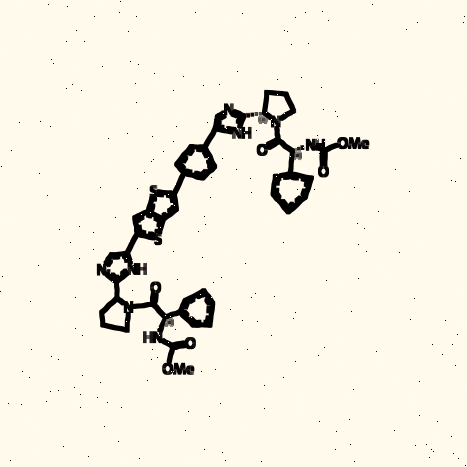 COC(=O)N[C@@H](C(=O)N1CCCC1c1ncc(-c2cc3sc(-c4ccc(-c5cnc([C@@H]6CCCN6C(=O)[C@H](NC(=O)OC)c6ccccc6)[nH]5)cc4)cc3s2)[nH]1)c1ccccc1